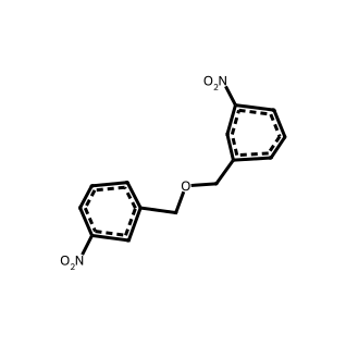 O=[N+]([O-])c1cccc(COCc2cccc([N+](=O)[O-])c2)c1